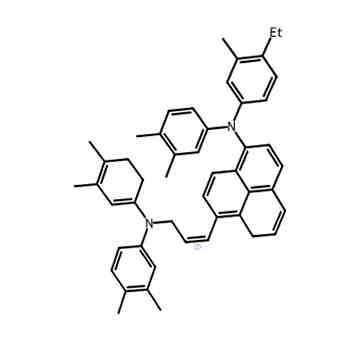 CCc1ccc(N(c2ccc(C)c(C)c2)c2ccc3c4c(c(/C=C\CN(C5=CC(C)=C(C)CC5)c5ccc(C)c(C)c5)ccc24)CC=C3)cc1C